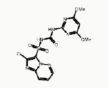 COc1cc(OC)nc(NC(=O)NS(=O)(=O)c2c(Cl)nc3cccnn23)n1